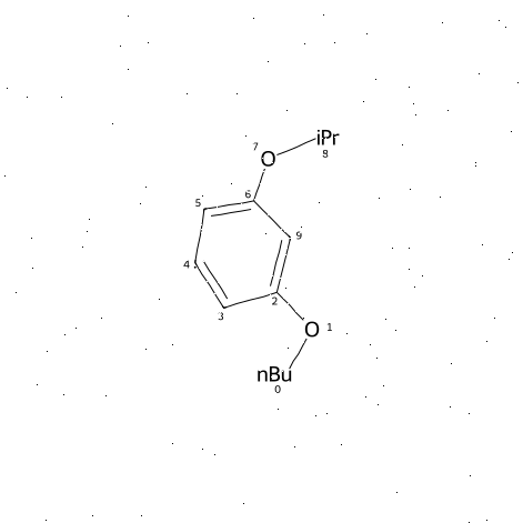 CCCCOc1c[c]cc(OC(C)C)c1